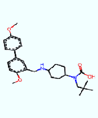 COc1ccc(-c2ccc(OC)c(CNC3CCC(N(CC(C)(C)C)C(=O)O)CC3)c2)cc1